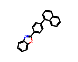 c1ccc2c(-c3ccc(-c4nc5ccccc5o4)cc3)cccc2c1